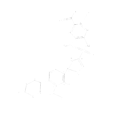 COc1cc(C(=O)O)c(F)cc1NS(=O)(=O)c1csc(-c2ccc([C@H]3CC[C@@H](C)CC3)c(OC)c2F)n1